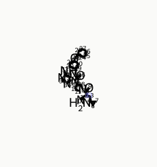 N#C/C(=C\C1(N)CC1)C(=O)N1CC[C@H](n2c(=O)n(-c3ccc(Oc4ccccc4)cc3)c3c(N)ncnc32)C1